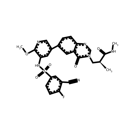 CNC(=O)[C@@H](C)Cn1cnc2ccc(-c3cnc(OC)c(NS(=O)(=O)c4ccc(F)c(C#N)c4)c3)cc2c1=O